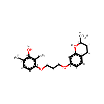 CCCc1c(OCCCOc2ccc3c(c2)OC(C(=O)O)CC3)ccc(C(C)=O)c1O